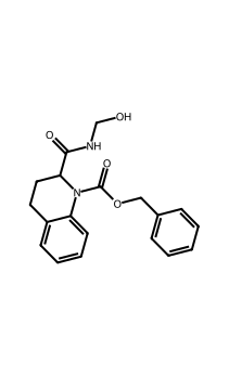 O=C(NCO)C1CCc2ccccc2N1C(=O)OCc1ccccc1